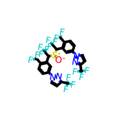 [O-][S+](C(c1cc(-n2ccc(C(F)(F)F)n2)ccc1C(F)F)C(F)(F)F)C(c1cc(-n2ccc(C(F)(F)F)n2)ccc1C(F)F)C(F)(F)F